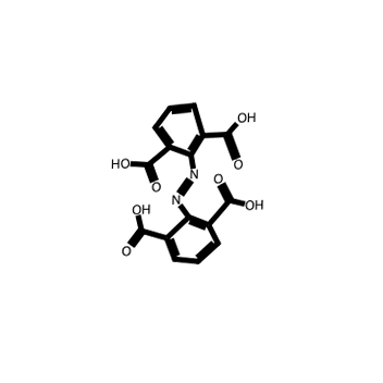 O=C(O)c1cccc(C(=O)O)c1/N=N/c1c(C(=O)O)cccc1C(=O)O